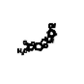 CN1C[C@@]2(CCC(=O)[C@H](Cn3cnc4ccc(C#N)cc43)C2)OC1=O